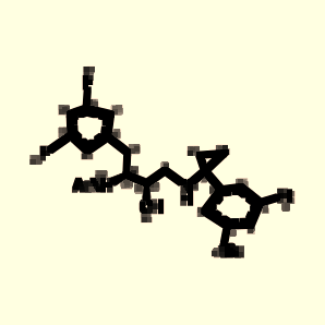 CCc1cc(C(C)(C)C)cc(C2(NC[C@@H](O)[C@H](Cc3cc(F)cc(F)c3)NC(C)=O)CC2)c1